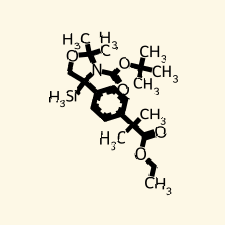 CCOC(=O)C(C)(C)c1ccc(C2([SiH3])COC(C)(C)N2C(=O)OC(C)(C)C)cc1